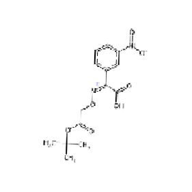 CC(C)(C)OC(=O)CO/N=C(\C(=O)O)c1cccc([N+](=O)[O-])c1